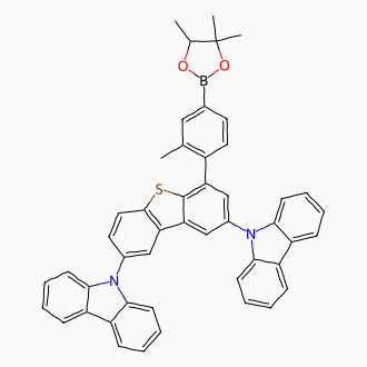 Cc1cc(B2OC(C)C(C)(C)O2)ccc1-c1cc(-n2c3ccccc3c3ccccc32)cc2c1sc1ccc(-n3c4ccccc4c4ccccc43)cc12